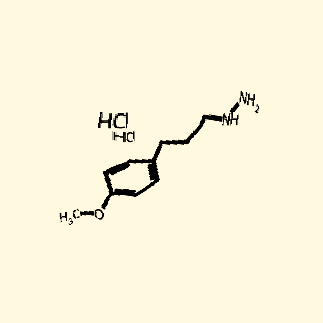 COc1ccc(CCCNN)cc1.Cl.Cl